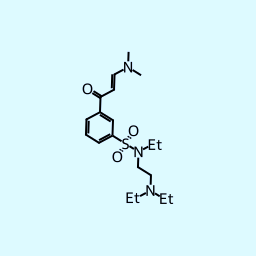 CCN(CC)CCN(CC)S(=O)(=O)c1cccc(C(=O)/C=C/N(C)C)c1